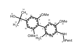 CCCCCNc1nc(C)c(-c2c(OC)cc(C(C)(C)O)cc2OC)nc1OC